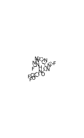 O=C(Nc1ccc(OC(F)(F)Cl)cc1)c1cnc(N2CC[C@@H](F)C2)c(-c2cnc3c(c2)-c2c(cnn2-c2ncc(F)cn2)C3)c1